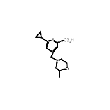 CC1CN(Cc2cc(C(=O)O)nc(C3CC3)c2)CCO1